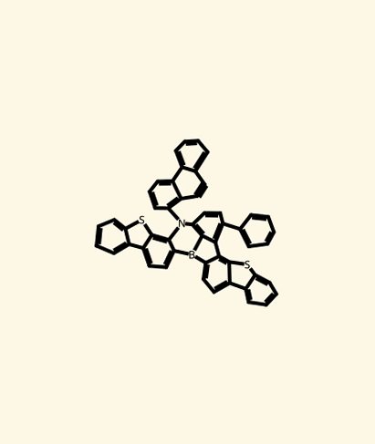 c1c2ccccc2c2cccc(N3c4ccc(-c5ccccc5)c5c4B(c4ccc6c(sc7ccccc76)c4-5)c4ccc5c(sc6ccccc65)c43)c2c#1